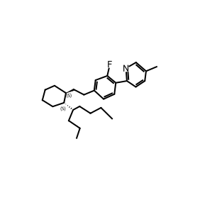 CCCCC(CCC)[C@@H]1CCCC[C@H]1CCc1ccc(-c2ccc(C)cn2)c(F)c1